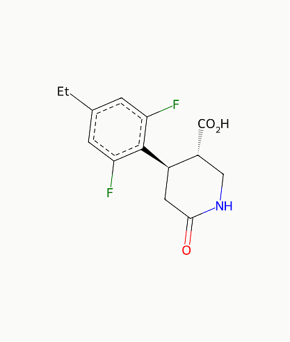 CCc1cc(F)c([C@@H]2CC(=O)NC[C@H]2C(=O)O)c(F)c1